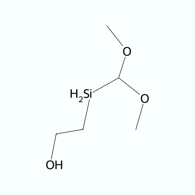 COC(OC)[SiH2]CCO